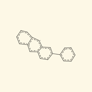 [c]1c2ccccc2cc2ccc(-c3ccccc3)cc12